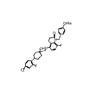 COc1ccc(CN2C(=O)CCc3c(OCC4(O)CCC(c5ccc(Cl)cc5F)CC4)ccc(F)c32)cc1